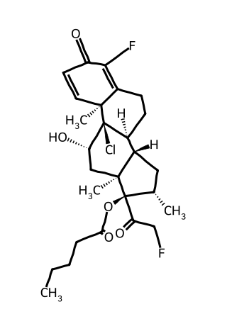 CCCCC(=O)O[C@]1(C(=O)CF)[C@@H](C)C[C@H]2[C@@H]3CCC4=C(F)C(=O)C=C[C@]4(C)[C@@]3(Cl)[C@@H](O)C[C@@]21C